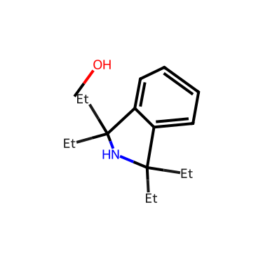 CCC1(CC)NC(CC)(CC)c2ccccc21.CO